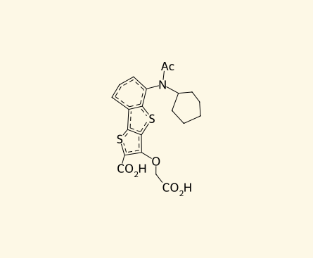 CC(=O)N(c1cccc2c1sc1c(OCC(=O)O)c(C(=O)O)sc12)C1CCCCC1